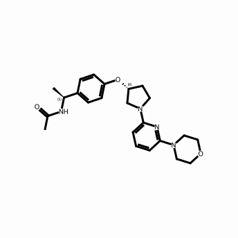 CC(=O)N[C@@H](C)c1ccc(O[C@@H]2CCN(c3cccc(N4CCOCC4)n3)C2)cc1